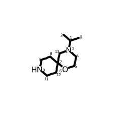 CC(C)N1CCOC2(CCNCC2)C1